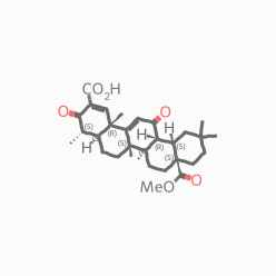 COC(=O)[C@]12CCC(C)(C)C[C@H]1[C@H]1C(=O)C=C3[C@@]4(C)C=C(C(=O)O)C(=O)[C@@H](C)[C@@H]4CC[C@@]3(C)[C@]1(C)CC2